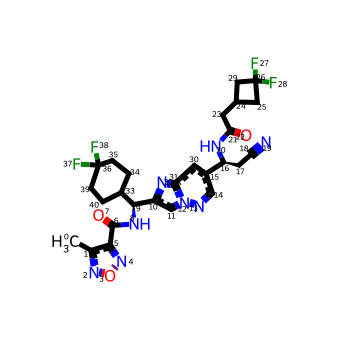 Cc1nonc1C(=O)N[C@H](c1cn2ncc([C@H](CC#N)NC(=O)CC3CC(F)(F)C3)cc2n1)C1CCC(F)(F)CC1